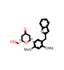 COc1cc(OC)c([C@H]2CC(=O)C[C@@H](CO)O2)cc1Cc1cc2ccccc2s1